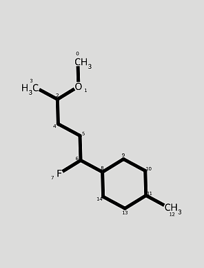 COC(C)CCC(F)C1CCC(C)CC1